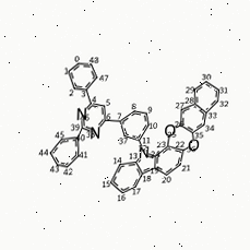 c1ccc(-c2cc(-c3cccc(-n4c5ccccc5c5ccc6c(c54)Oc4cc5ccccc5cc4O6)c3)nc(-c3ccccc3)n2)cc1